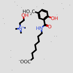 C[N+](C)(C)CCO.O=C([O-])CCCCCCCNC(=O)c1cc(C(=O)O)ccc1O